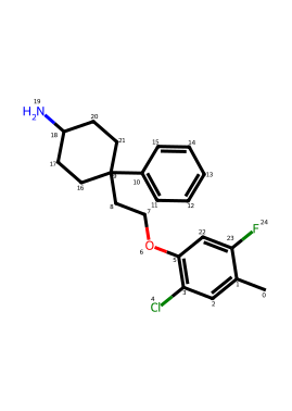 Cc1cc(Cl)c(OCCC2(c3ccccc3)CCC(N)CC2)cc1F